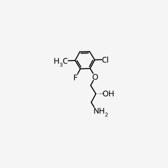 Cc1ccc(Cl)c(OC[C@H](O)CN)c1F